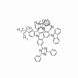 CC(C)(C)c1ccc2c(c1)c1cc(C(C)(C)C)ccc1n2-c1ccc(-c2nc(-c3ccccc3)nc(-c3ccccc3)n2)cc1-c1cc(-n2c3ccccc3c3ccccc32)c(C#N)c(-n2c3ccccc3c3ccccc32)c1